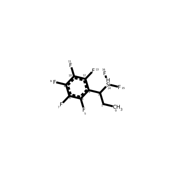 CCC(c1c(F)c(F)c(F)c(F)c1F)[SiH](F)F